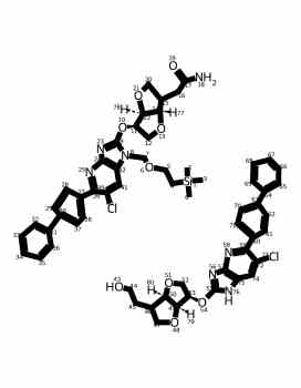 C[Si](C)(C)CCOCn1c(O[C@@H]2CO[C@@H]3C(CC(N)=O)CO[C@@H]32)nc2nc(-c3ccc(-c4ccccc4)cc3)c(Cl)cc21.OCCC1CO[C@H]2[C@@H]1OC[C@H]2Oc1nc2nc(-c3ccc(-c4ccccc4)cc3)c(Cl)cc2[nH]1